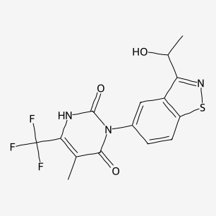 Cc1c(C(F)(F)F)[nH]c(=O)n(-c2ccc3snc(C(C)O)c3c2)c1=O